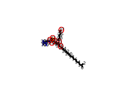 CC(C)CCCCCCCCCCCCCOC[C@H](COP(=O)([O-])OCC[N+](C)(C)C)OCCCCC=O